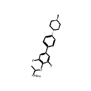 CCCCCCC(C)Oc1c(F)cc(-c2ccc([C@H]3CC[C@H](C)CC3)cc2)cc1F